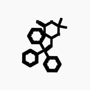 CC1(C)OC(=O)CC(C=P(c2ccccc2)(c2ccccc2)c2ccccc2)O1